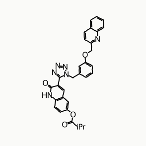 CC(C)C(=O)Oc1ccc2[nH]c(=O)c(-c3nnnn3Cc3cccc(OCc4ccc5ccccc5n4)c3)cc2c1